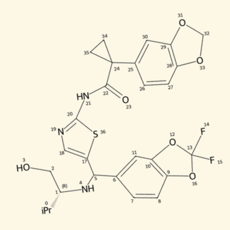 CC(C)[C@H](CO)NC(c1ccc2c(c1)OC(F)(F)O2)c1cnc(NC(=O)C2(c3ccc4c(c3)OCO4)CC2)s1